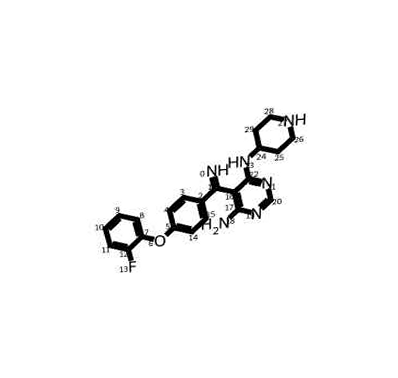 N=C(c1ccc(Oc2ccccc2F)cc1)c1c(N)ncnc1NC1CCNCC1